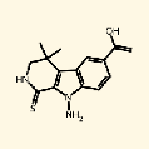 C=C(O)c1ccc2c(c1)c1c(n2N)C(=S)NCC1(C)C